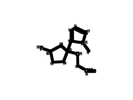 COCOC1(c2ccnn2C)CCC(F)C1